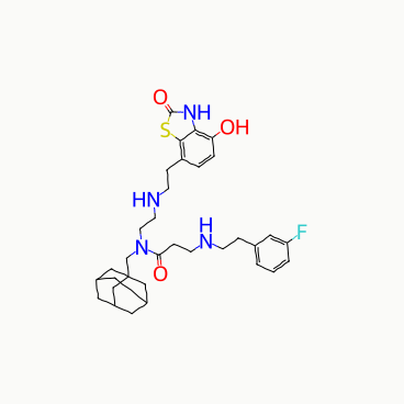 O=C(CCNCCc1cccc(F)c1)N(CCNCCc1ccc(O)c2[nH]c(=O)sc12)CC12CC3CC(CC(C3)C1)C2